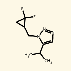 CC(C)c1cnnn1CC1CC1(F)F